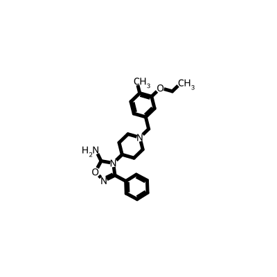 CCOc1cc(CN2CCC(N3C(c4ccccc4)=NOC3N)CC2)ccc1C